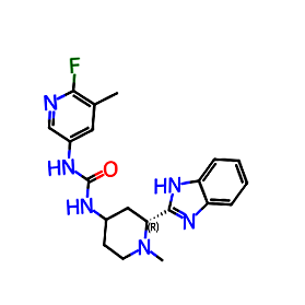 Cc1cc(NC(=O)NC2CCN(C)[C@@H](c3nc4ccccc4[nH]3)C2)cnc1F